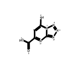 O=C(O)c1cc(S)n2nnnc2n1